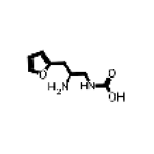 N[C@H](CNC(=O)O)Cc1ccco1